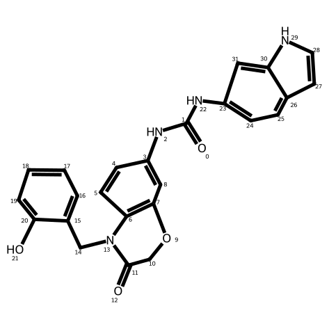 O=C(Nc1ccc2c(c1)OCC(=O)N2Cc1ccccc1O)Nc1ccc2cc[nH]c2c1